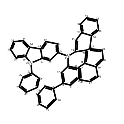 c1ccc(-c2cccc(N(c3ccc4c5ccccc5n(-c5ccccc5)c4c3)c3cc4ccccc4c4ccc5ccccc5c34)c2)cc1